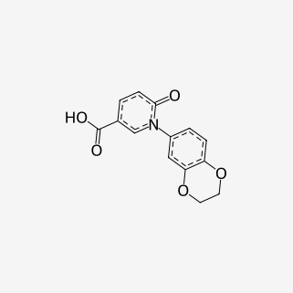 O=C(O)c1ccc(=O)n(-c2ccc3c(c2)OCCO3)c1